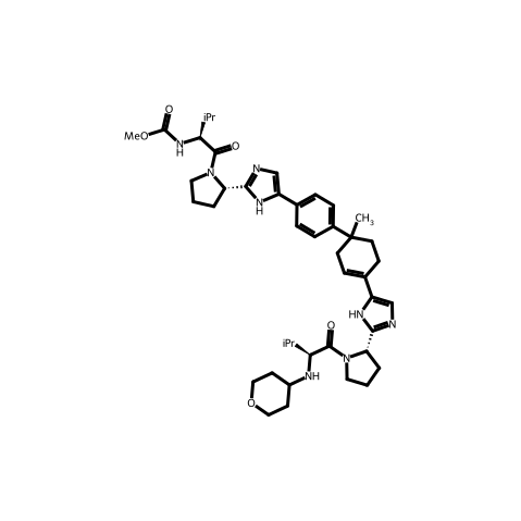 COC(=O)N[C@H](C(=O)N1CCC[C@H]1c1ncc(-c2ccc(C3(C)CC=C(c4cnc([C@@H]5CCCN5C(=O)[C@@H](NC5CCOCC5)C(C)C)[nH]4)CC3)cc2)[nH]1)C(C)C